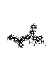 CC1(C)c2ccccc2-c2cc(N(c3ccc(-c4ccccc4)cc3)c3ccc(-c4ccc5c(c4)c4ccccc4n5-c4ccc(-c5cccnc5)cc4)cc3)ccc21